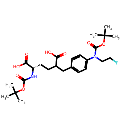 CC(C)(C)OC(=O)N[C@@H](CCC(Cc1ccc(N(CCF)C(=O)OC(C)(C)C)cc1)C(=O)O)C(=O)O